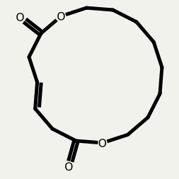 O=C1C/C=C/CC(=O)OCCCCCCCCO1